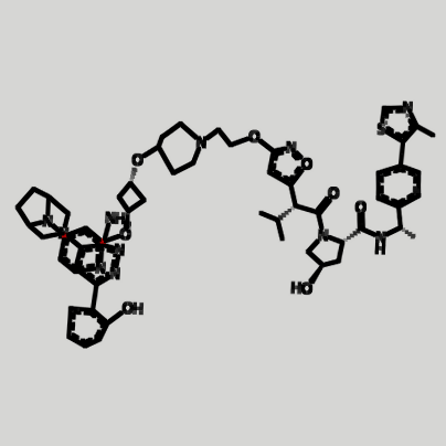 Cc1ncsc1-c1ccc([C@H](C)NC(=O)[C@@H]2C[C@@H](O)CN2C(=O)[C@@H](c2cc(OCCN3CCC(O[C@H]4C[C@H](Oc5cc(N6C7CCC6CN(c6cc(-c8ccccc8O)nnc6N)C7)ccn5)C4)CC3)no2)C(C)C)cc1